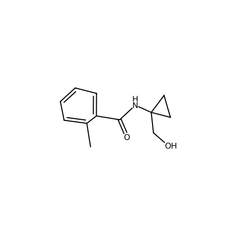 Cc1ccccc1C(=O)NC1(CO)CC1